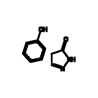 O=C1CC=NN1.Oc1ccccc1